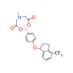 CN1CC(=O)OB(c2ccc(OC3CCc4c3cccc4C(F)(F)F)cc2)OC(=O)C1